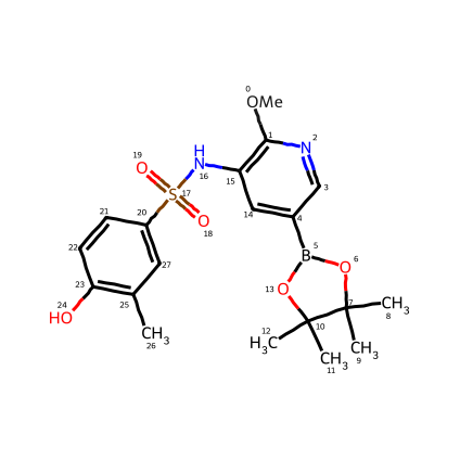 COc1ncc(B2OC(C)(C)C(C)(C)O2)cc1NS(=O)(=O)c1ccc(O)c(C)c1